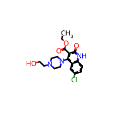 CCOC(=O)c1c(N2CCN(CCO)CC2)c2cc(Cl)ccc2[nH]c1=O